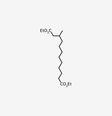 CCOC(=O)CCCCCCCCC(C)CC(=O)OCC